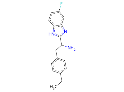 CCc1ccc(CC(N)c2nc3cc(F)ccc3[nH]2)cc1